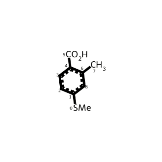 CSc1ccc(C(=O)O)c(C)c1